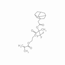 C=C(C)C(=O)OCCOC(=O)C(C)(OC(=O)CC12CC3CC(CC(C3)C1)C2)C(F)(F)F